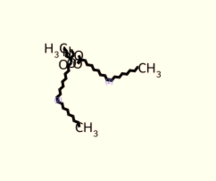 CCCCCCCC/C=C\CCCCCCCC(=O)OC1CN(C)CC1OC(=O)CCCCCCC/C=C\CCCCCCCC